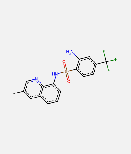 Cc1cnc2c(NS(=O)(=O)c3ccc(C(F)(F)F)cc3N)cccc2c1